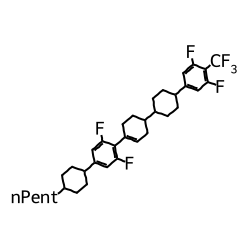 CCCCCC1CCC(c2cc(F)c(C3=CCC(C4CCC(c5cc(F)c(C(F)(F)F)c(F)c5)CC4)CC3)c(F)c2)CC1